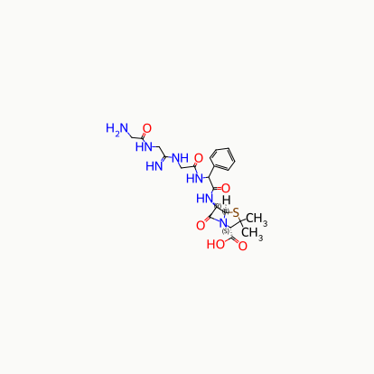 CC1(C)S[C@@H]2[C@H](NC(=O)C(NC(=O)CNC(=N)CNC(=O)CN)c3ccccc3)C(=O)N2[C@H]1C(=O)O